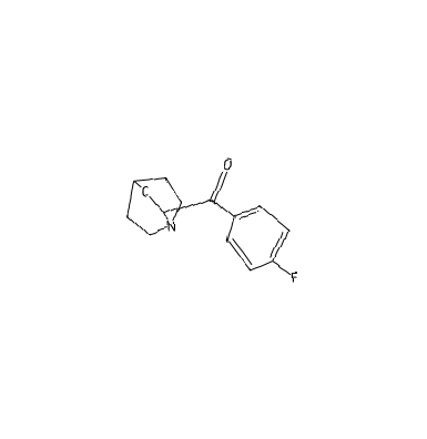 O=C(c1ccc(F)cc1)C1CC2CCN1CC2